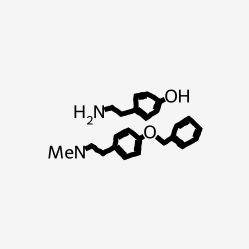 CNCCc1ccc(OCc2ccccc2)cc1.NCCc1ccc(O)cc1